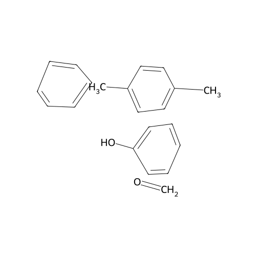 C=O.Cc1ccc(C)cc1.Oc1ccccc1.c1ccccc1